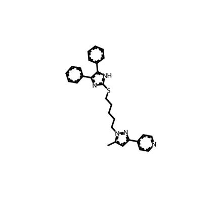 Cc1cc(-c2ccncc2)nn1CCCCCSc1nc(-c2ccccc2)c(-c2ccccc2)[nH]1